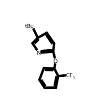 CC(C)(C)c1ccc(Oc2ccccc2C(F)(F)F)nc1